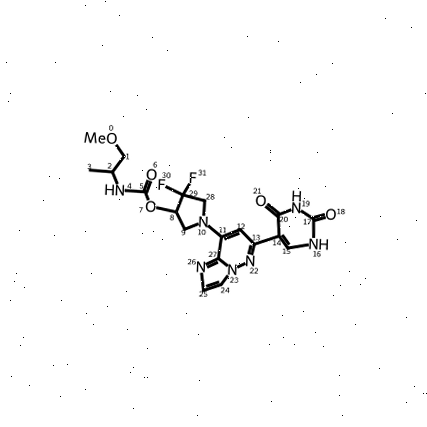 COCC(C)NC(=O)OC1CN(c2cc(-c3c[nH]c(=O)[nH]c3=O)nn3ccnc23)CC1(F)F